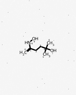 C=C(CCC(C)(C)O)NO